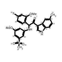 COc1cc(NC(C(=O)c2c[nH]c3ccc(C)cc23)c2ccc(F)cc2OC)cc(S(C)(=O)=O)c1